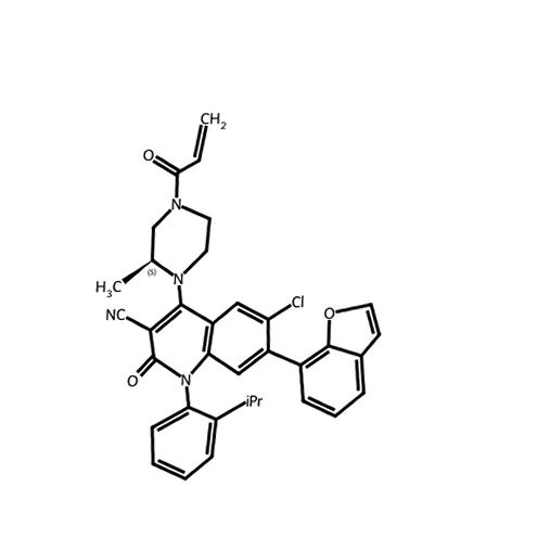 C=CC(=O)N1CCN(c2c(C#N)c(=O)n(-c3ccccc3C(C)C)c3cc(-c4cccc5ccoc45)c(Cl)cc23)[C@@H](C)C1